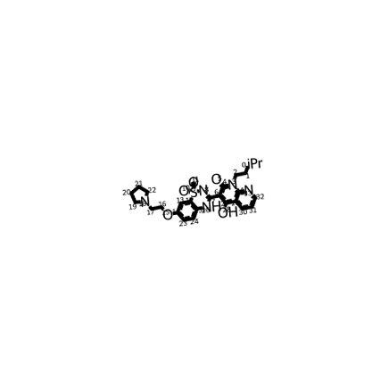 CC(C)CCn1c(=O)c(C2=NS(=O)(=O)c3cc(OCCN4CCCC4)ccc3N2)c(O)c2cccnc21